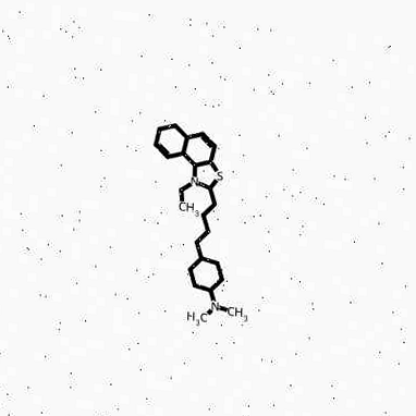 CCN1C(CCCCC2CCC(N(C)C)CC2)SC2C=CC3CCC=CC3C21